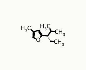 CC[C@H](c1cc(C)co1)C(C)C